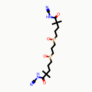 CC(C)(CCC[S+]([O-])CCC[S+]([O-])CCCC(C)(C)C(=O)NC#N)C(=O)NC#N